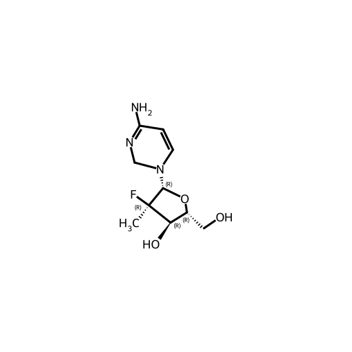 C[C@@]1(F)[C@H](O)[C@@H](CO)O[C@H]1N1C=CC(N)=NC1